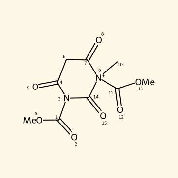 COC(=O)N1C(=O)CC(=O)[N+](C)(C(=O)OC)C1=O